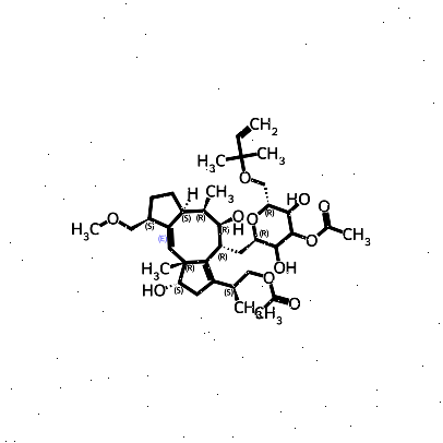 C=CC(C)(C)OC[C@H]1O[C@H](C[C@@H]2C3=C([C@H](C)COC(C)=O)C[C@H](O)[C@]3(C)/C=C3/[C@@H](COC)CC[C@H]3[C@@H](C)[C@H]2O)C(O)C(OC(C)=O)C1O